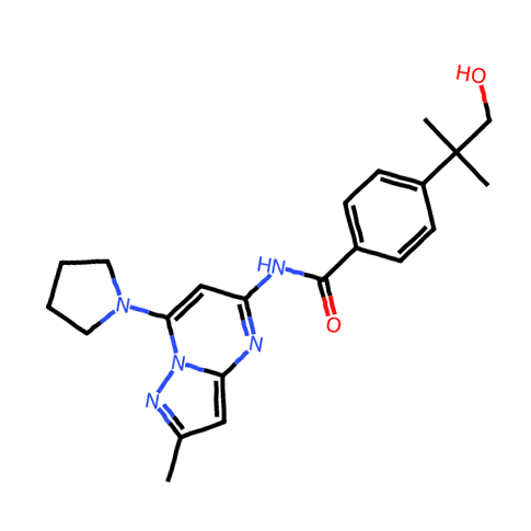 Cc1cc2nc(NC(=O)c3ccc(C(C)(C)CO)cc3)cc(N3CCCC3)n2n1